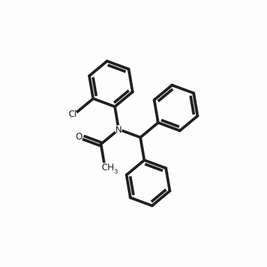 CC(=O)N(c1ccccc1Cl)C(c1ccccc1)c1ccccc1